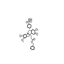 COc1ccc(CC2(CCC(=O)OCc3ccccc3)c3cc(OC)c(OC)cc3CCN2C)cc1OC.O=S(=O)(O)c1ccccc1